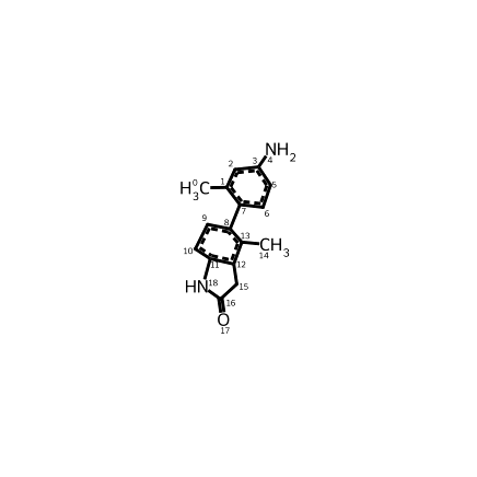 Cc1cc(N)ccc1-c1ccc2c(c1C)CC(=O)N2